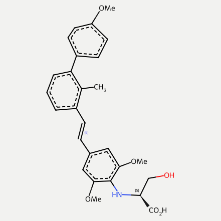 COc1ccc(-c2cccc(/C=C/c3cc(OC)c(N[C@@H](CO)C(=O)O)c(OC)c3)c2C)cc1